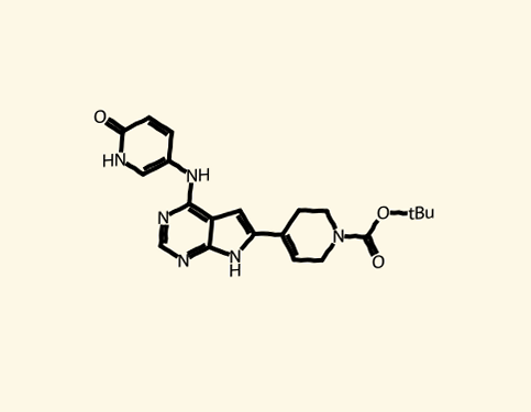 CC(C)(C)OC(=O)N1CC=C(c2cc3c(Nc4ccc(=O)[nH]c4)ncnc3[nH]2)CC1